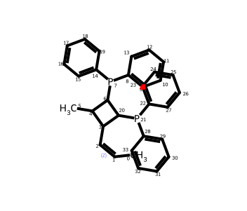 C/C=C\C1C(C)C(P(c2ccccc2)c2ccccc2)C1P(c1ccccc1)c1ccccc1